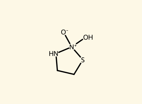 [O-][N+]1(O)NCCS1